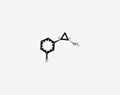 N[C@H]1C[C@@H]1c1cccc(Cl)c1